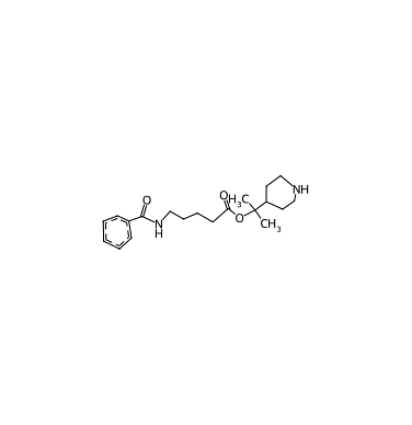 CC(C)(OC(=O)CCCCNC(=O)c1ccccc1)C1CCNCC1